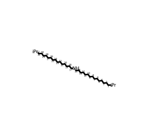 CC(C)CCCCCCCCCCCCCCCNCCCCCCCCCCCCCCCC(C)C